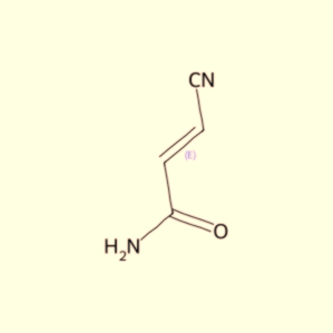 N#C/C=C/C(N)=O